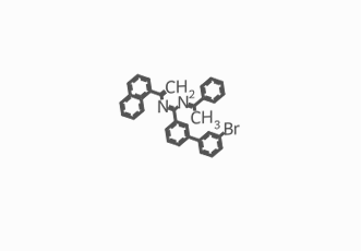 C=C(/N=C(\N=C(/C)c1ccccc1)c1cccc(-c2cccc(Br)c2)c1)c1cccc2ccccc12